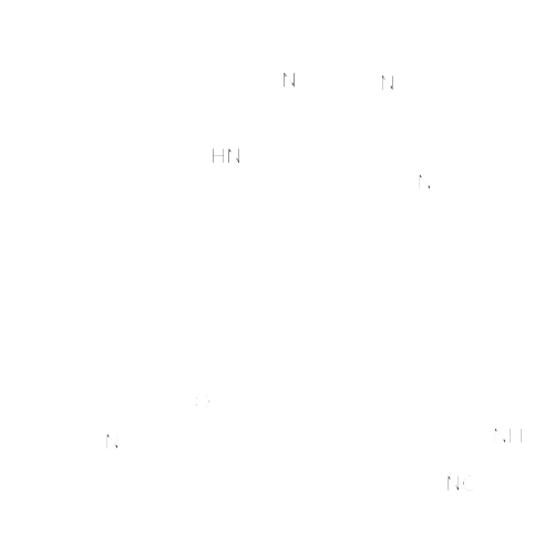 Cc1cccc(Oc2ccc3c(c2)CNc2ncnc4c2c-3c(-c2ccc(NC#N)cc2)n4C)n1